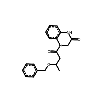 CC(CC(=O)N1CC(=O)Nc2ccccc21)OCc1ccccc1